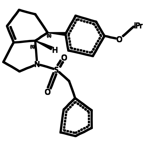 CC(C)Oc1ccc([C@@H]2CCC=C3CCN(S(=O)(=O)Cc4ccccc4)[C@H]32)cc1